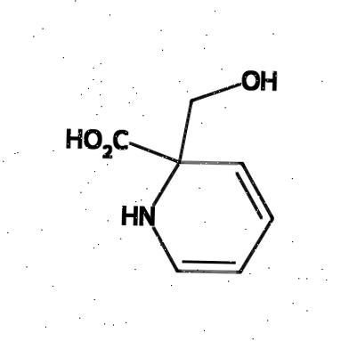 O=C(O)C1(CO)C=CC=CN1